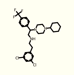 FC(F)(F)c1ccc(C(CNCCc2cc(Cl)cc(Cl)c2)N2CCN(C3CCCCC3)CC2)cc1